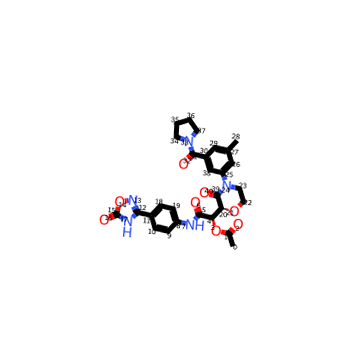 CC(=O)O[C@@H](C(=O)Nc1ccc(-c2noc(=O)[nH]2)cc1)[C@H]1OCCN(c2cc(C)cc(C(=O)N3CCCC3)c2)C1=O